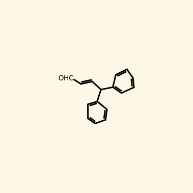 O=CC=CC(c1ccccc1)c1ccccc1